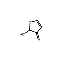 O=C1C=COC1O